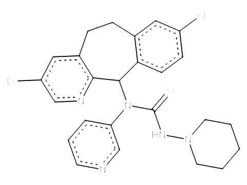 O=C(NN1CCCCC1)N(c1cccnc1)C1c2ccc(Cl)cc2CCc2cc(Br)cnc21